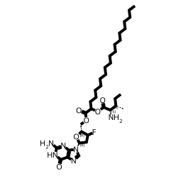 CCCCCCCCCCCCCCCCCCC(OC(=O)[C@@H](N)[C@@H](C)CC)C(=O)OC[C@H]1O[C@@H](n2cnc3c(=O)[nH]c(N)nc32)CC1F